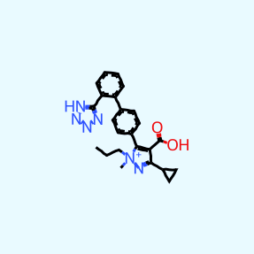 CCC[N+]1(C)N=C(C2CC2)C(C(=O)O)=C1c1ccc(-c2ccccc2-c2nnn[nH]2)cc1